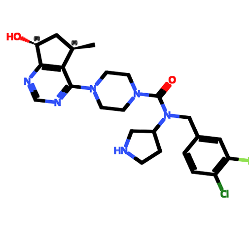 C[C@@H]1C[C@@H](O)c2ncnc(N3CCN(C(=O)N(Cc4ccc(Cl)c(F)c4)C4CCNC4)CC3)c21